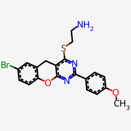 COc1ccc(-c2nc3c(c(SCCN)n2)Cc2cc(Br)ccc2O3)cc1